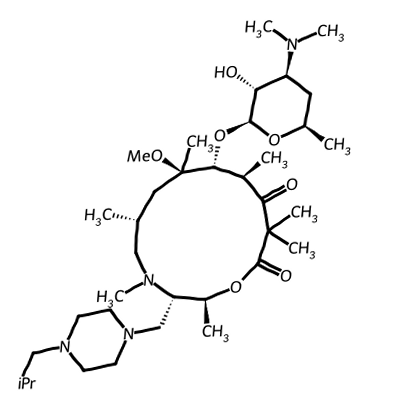 CO[C@]1(C)C[C@@H](C)CN(C)[C@@H](CN2CCN(CC(C)C)CC2)[C@H](C)OC(=O)C(C)(C)C(=O)[C@H](C)[C@H]1O[C@@H]1O[C@H](C)C[C@H](N(C)C)[C@H]1O